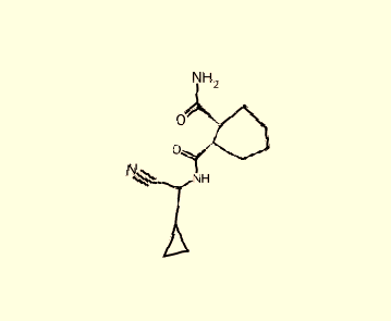 N#CC(NC(=O)[C@@H]1CCCC[C@@H]1C(N)=O)C1CC1